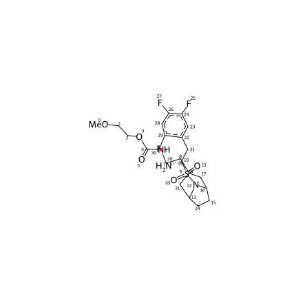 COCCOC(=O)NCCS(=O)(=O)N1C2CCC1CC([C@H](N)Cc1cc(F)c(F)cc1F)C2